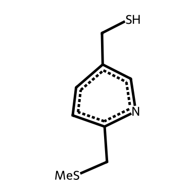 CSCc1ccc(CS)cn1